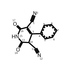 N#CC1=C(c2ccccc2)C(C#N)C(=O)NC1=O